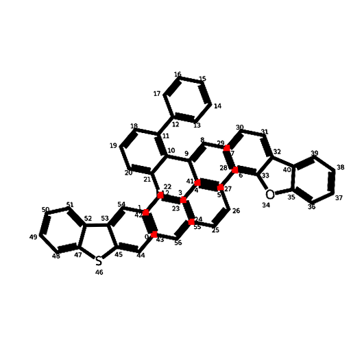 c1ccc(-c2ccccc2-c2c(-c3ccccc3)cccc2N(c2cccc(-c3cccc4c3oc3ccccc34)c2)c2ccc3sc4ccccc4c3c2)cc1